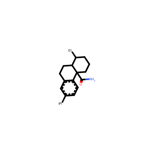 C[CH]C1CCCC2(C(N)=O)c3ccc(C(C)C)cc3CCC12